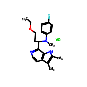 CCOCCC(c1nccc2c(C)c(C)[nH]c12)N(C)c1ccc(F)cc1.Cl